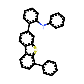 c1ccc(Nc2ccccc2-c2ccc3c(c2)sc2c(-c4ccccc4)cccc23)cc1